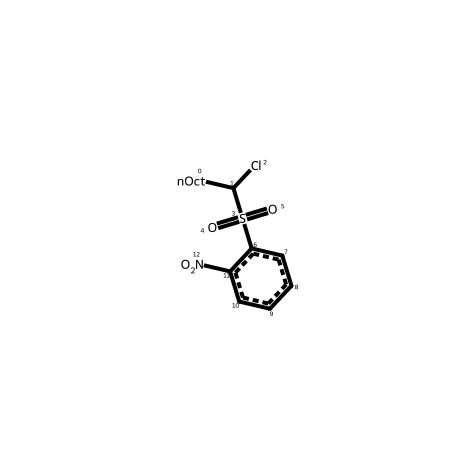 CCCCCCCCC(Cl)S(=O)(=O)c1ccccc1[N+](=O)[O-]